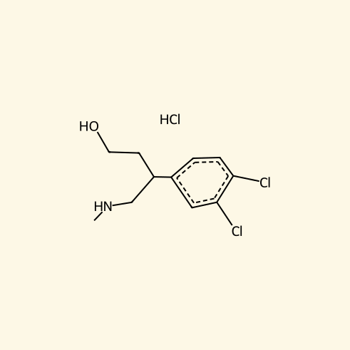 CNCC(CCO)c1ccc(Cl)c(Cl)c1.Cl